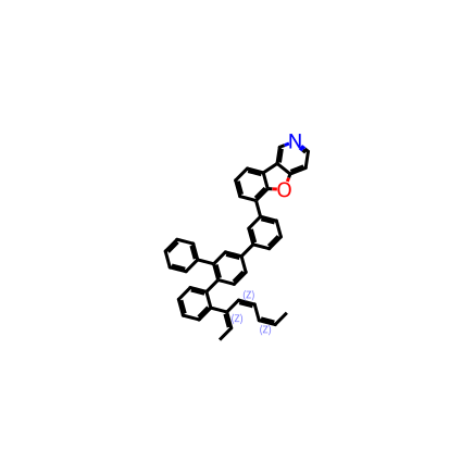 C\C=C/C=C\C(=C\C)c1ccccc1-c1ccc(-c2cccc(-c3cccc4c3oc3ccncc34)c2)cc1-c1ccccc1